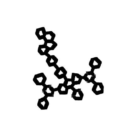 c1ccc(-c2nc(-c3ccccc3)nc(-c3ccc4c(-c5ncccn5)c5cc(-c6nc(-c7ccccc7)nc(-c7ccccc7)n6)ccc5c(-c5ccc(-c6ccc(-c7cccc8c7ccc7ccc9ccccc9c78)cc6)cc5)c4c3)n2)cc1